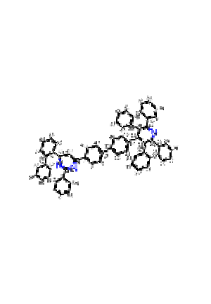 c1ccc(-c2nc(-c3ccc(-c4ccc(-c5c(-c6ccccc6)c(-c6ccccc6)nc(-c6ccccc6)c5-c5ccccc5)cc4)cc3)cc(-c3ccccc3-c3ccccc3)n2)cc1